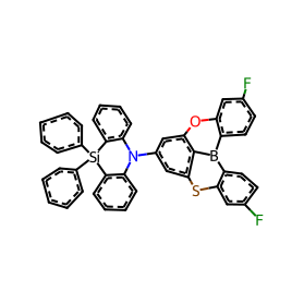 Fc1ccc2c(c1)Oc1cc(N3c4ccccc4[Si](c4ccccc4)(c4ccccc4)c4ccccc43)cc3c1B2c1ccc(F)cc1S3